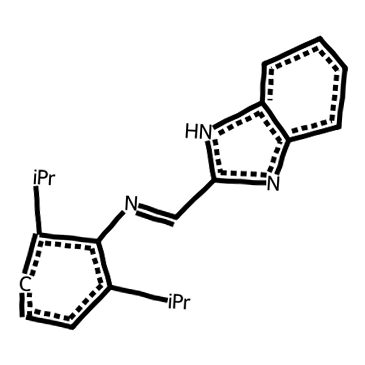 CC(C)c1cccc(C(C)C)c1/N=C/c1nc2ccccc2[nH]1